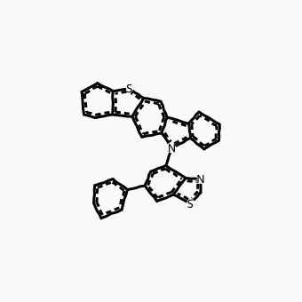 c1ccc(-c2cc(-n3c4ccccc4c4cc5sc6ccccc6c5cc43)c3ncsc3c2)cc1